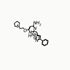 NC1=NC(N)(Cc2cc(-c3ccccc3)no2)NC(OCCN2CCCC2)=C1